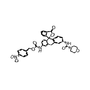 O=C(Nc1ccc2c(c1)Cc1cc(NC(=O)N3CCOCC3)ccc1C21OC(=O)c2ccccc21)OCc1ccc([N+](=O)[O-])cc1